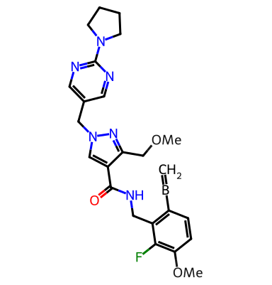 C=Bc1ccc(OC)c(F)c1CNC(=O)c1cn(Cc2cnc(N3CCCC3)nc2)nc1COC